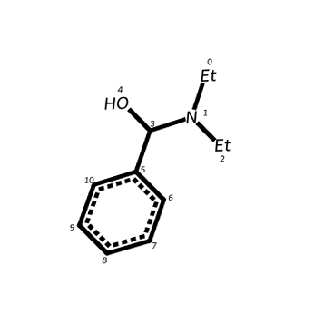 CCN(CC)C(O)c1ccccc1